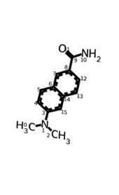 CN(C)c1ccc2cc(C(N)=O)ccc2c1